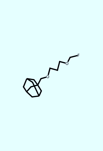 FCOCCCOCC12CC3CC(CC(C3)C1)C2